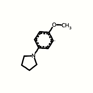 COc1[c]cc(N2CCCC2)cc1